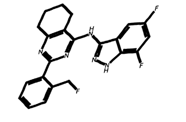 FCc1ccccc1-c1nc2c(c(Nc3n[nH]c4c(F)cc(F)cc34)n1)CCCC2